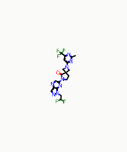 Cc1nc(N2CC3(CCN(c4cnc5cnn(CC(F)F)c5n4)C3=O)C2)cc(C(F)(F)F)n1